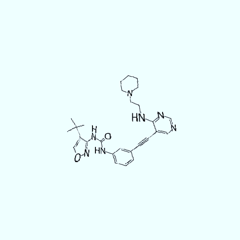 CC(C)(C)c1conc1NC(=O)Nc1cccc(C#Cc2cncnc2NCCN2CCCCC2)c1